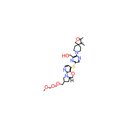 COCOCOCC1C[C@H]2COc3c(Sc4cnc(N5CCC6(CC5)CO[C@@H](C)[C@H]6C)c(CO)n4)ccnc3N2C1